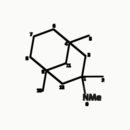 CNC1(C)CC2(C)CCCC(C)(C2)C1